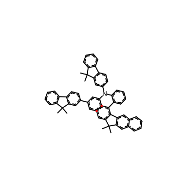 CC1(C)c2ccccc2-c2ccc(-c3cccc(N(c4ccc5c(c4)C(C)(C)c4ccccc4-5)c4ccccc4-c4cccc5c4-c4cc6ccccc6cc4C5(C)C)c3)cc21